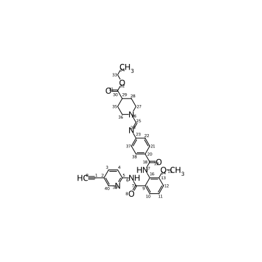 C#Cc1ccc(NC(=O)c2cccc(OC)c2NC(=O)c2ccc(N=CN3CCC(C(=O)OCC)CC3)cc2)nc1